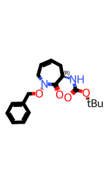 CC(C)(C)OC(=O)N[C@@H]1CC=CCN(OCc2ccccc2)C1=O